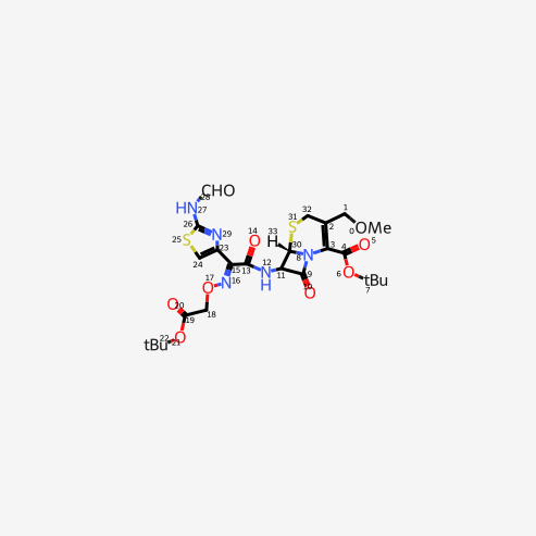 COCC1=C(C(=O)OC(C)(C)C)N2C(=O)C(NC(=O)C(=NOCC(=O)OC(C)(C)C)c3csc(NC=O)n3)[C@@H]2SC1